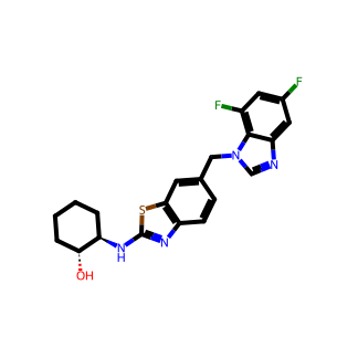 O[C@@H]1CCCC[C@H]1Nc1nc2ccc(Cn3cnc4cc(F)cc(F)c43)cc2s1